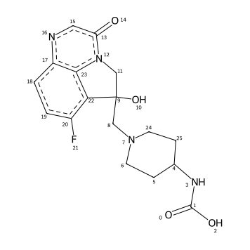 O=C(O)NC1CCN(CC2(O)Cn3c(=O)cnc4ccc(F)c2c43)CC1